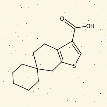 O=C(O)c1csc2c1CCC1(CCCCC1)C2